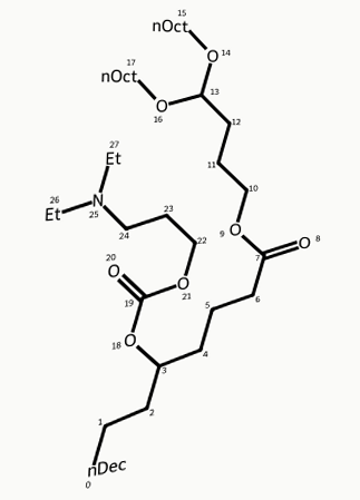 CCCCCCCCCCCCC(CCCC(=O)OCCCC(OCCCCCCCC)OCCCCCCCC)OC(=O)OCCCN(CC)CC